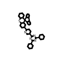 c1ccc(-c2nc(-c3ccccc3)nc(-c3ccc(-c4ccc5c(c4)C4(c6ccccc6S5)c5ccccc5-c5ccccc54)nc3)n2)cc1